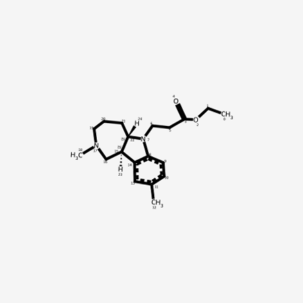 CCOC(=O)CCN1c2ccc(C)cc2[C@H]2CN(C)CCC[C@@H]21